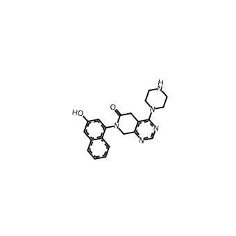 O=C1Cc2c(ncnc2N2CCNCC2)CN1c1cc(O)cc2ccccc12